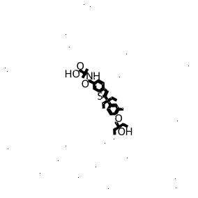 CCC(O)(CC)COc1ccc(C(CC)(CC)c2cc3ccc(C(=O)NC(C)(C)C(=O)O)cc3s2)cc1C